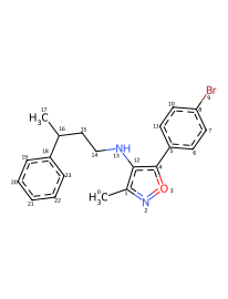 Cc1noc(-c2ccc(Br)cc2)c1NCCC(C)c1ccccc1